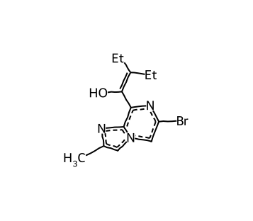 CCC(CC)=C(O)c1nc(Br)cn2cc(C)nc12